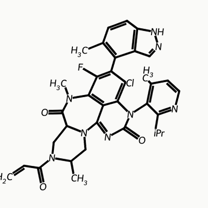 C=CC(=O)N1CC2C(=O)N(C)c3c(F)c(-c4c(C)ccc5[nH]ncc45)c(Cl)c4c3c(nc(=O)n4-c3c(C)ccnc3C(C)C)N2CC1C